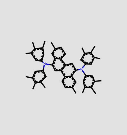 Cc1ccc2c(c1)c(N(c1cc(C)c(C)c(C)c1)c1cc(C)c(C)c(C)c1)cc1c3ccc(C)cc3c(N(c3cc(C)c(C)c(C)c3)c3cc(C)c(C)c(C)c3)cc21